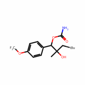 CC(C)(C)CC(C)(O)C(OC(N)=O)c1ccc(OC(F)(F)F)cc1